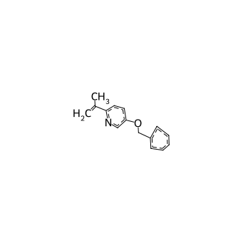 C=C(C)c1ccc(OCc2ccccc2)cn1